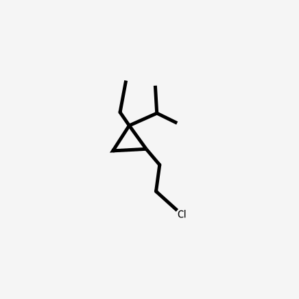 CCC1(C(C)C)CC1CCCl